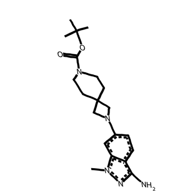 Cn1nc(N)c2ccc(N3CC4(CCN(C(=O)OC(C)(C)C)CC4)C3)cc21